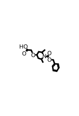 CC1CC(OCC(=O)O)CC(C)N1C(=O)OCc1ccccc1